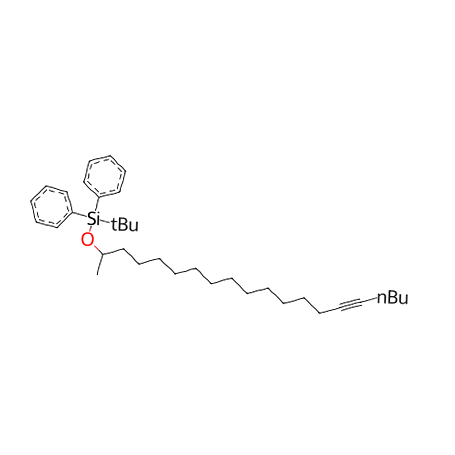 CCCCC#CCCCCCCCCCCCCC(C)O[Si](c1ccccc1)(c1ccccc1)C(C)(C)C